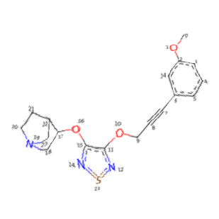 COc1cccc(C#CCOc2nsnc2OC2CN3CCC2C3)c1